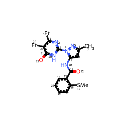 CCc1nc(-n2nc(C)cc2NC(=O)c2ccccc2SC)[nH]c(=O)c1CC